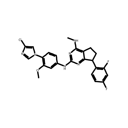 CNc1nc(Nc2ccc(-n3cnc(Cl)c3)c(OC)c2)nc2c1CCC2c1ccc(F)cc1F